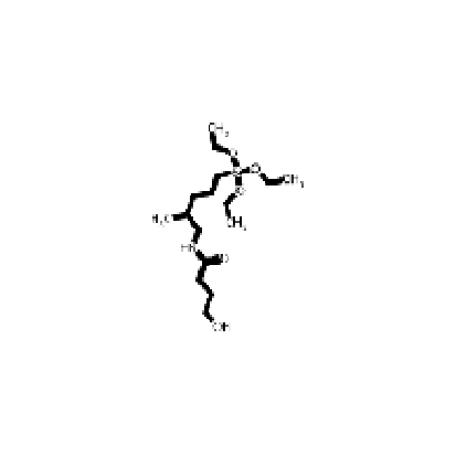 CCO[Si](CCCC(C)CNC(=O)CCCO)(OCC)OCC